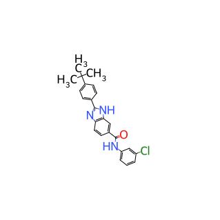 CC(C)(C)c1ccc(-c2nc3ccc(C(=O)Nc4cccc(Cl)c4)cc3[nH]2)cc1